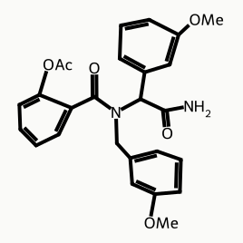 COc1cccc(CN(C(=O)c2ccccc2OC(C)=O)C(C(N)=O)c2cccc(OC)c2)c1